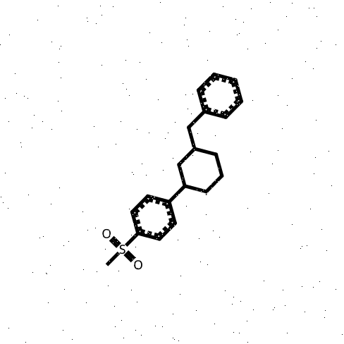 CS(=O)(=O)c1ccc(C2[CH]CCC(Cc3ccccc3)C2)cc1